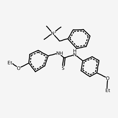 CCOc1ccc(NC(=S)Nc2ccc(OCC)cc2)cc1.C[N+](C)(C)Cc1ccccc1